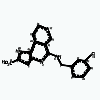 O=C(O)c1cc2nc(NCc3cccc(Cl)c3)c3cnccc3c2[nH]1